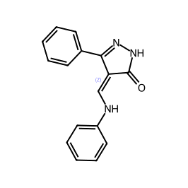 O=C1NN=C(c2ccccc2)/C1=C/Nc1ccccc1